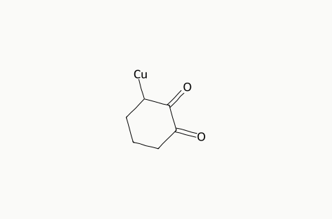 O=C1CCC[CH]([Cu])C1=O